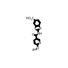 CC(C)Oc1ccc(C(=O)Nc2nc3ccc(C(=O)O)cc3s2)cn1